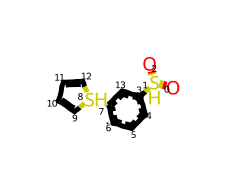 O=[SH](=O)c1cc[c]c([SH]2C=CC=C2)c1